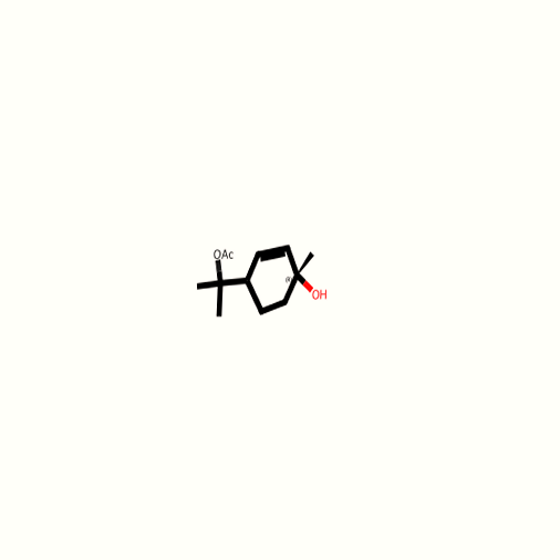 CC(=O)OC(C)(C)C1C=C[C@](C)(O)CC1